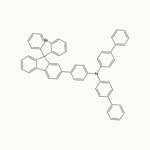 Brc1ccccc1C1(c2ccccc2)c2ccccc2-c2ccc(-c3ccc(N(c4ccc(-c5ccccc5)cc4)c4ccc(-c5ccccc5)cc4)cc3)cc21